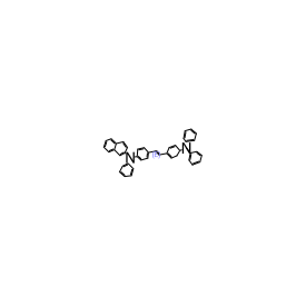 C1=CC(N(c2ccccc2)c2ccccc2)CC=C1/C=C/c1ccc(N(c2ccccc2)c2ccc3ccccc3c2)cc1